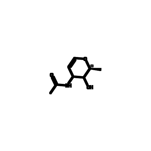 CC(=O)NC1C=CO[C@@H](C)C1O